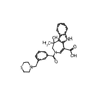 CC1(C)CN(C(=O)c2cccc(CN3CCSCC3)c2)C=C(C(=O)O)c2[nH]c3ccccc3c21